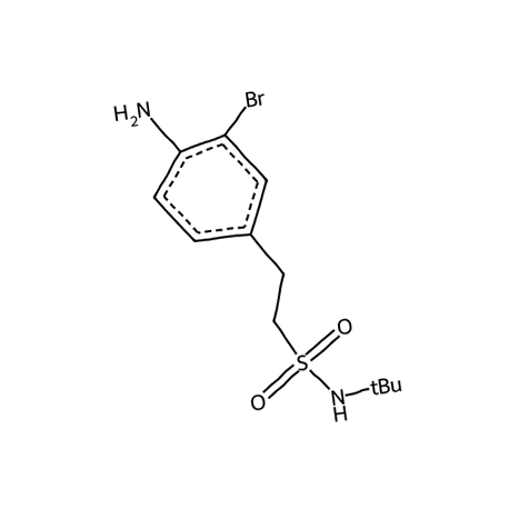 CC(C)(C)NS(=O)(=O)CCc1ccc(N)c(Br)c1